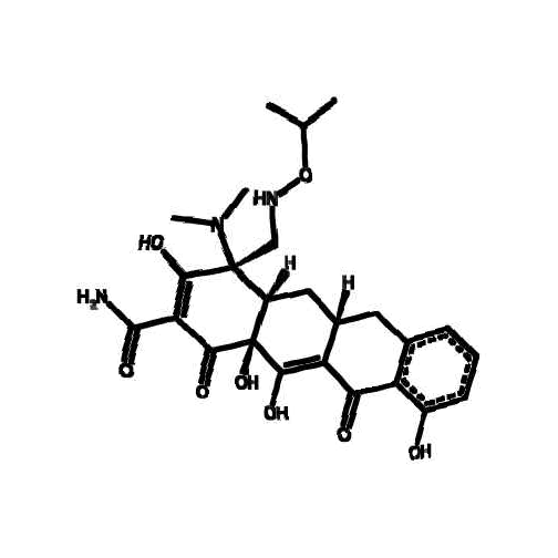 CC(C)ONC[C@]1(N(C)C)C(O)=C(C(N)=O)C(=O)[C@@]2(O)C(O)=C3C(=O)c4c(O)cccc4C[C@H]3C[C@H]21